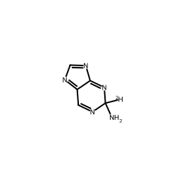 [2H]C1(N)N=CC2=NC=NC2=N1